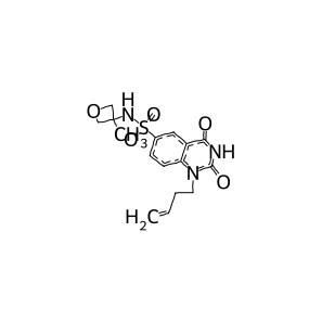 C=CCCn1c(=O)[nH]c(=O)c2cc(S(=O)(=O)NC3(C)COC3)ccc21